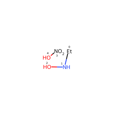 CCNO.O=[N+]([O-])O